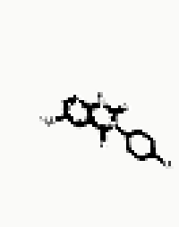 CCC1CCC(n2c(=O)[nH]c3ncc(N)cc3c2=O)CC1